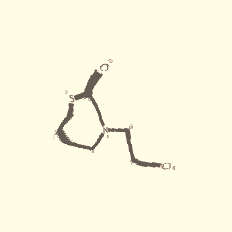 O=C1SCCN1CCCl